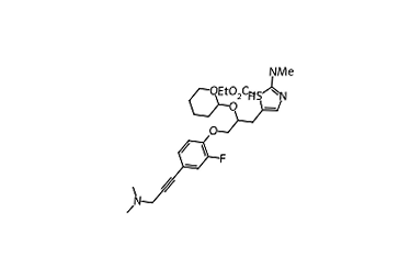 CCOC(=O)[SH]1C(CC(COc2ccc(C#CCN(C)C)cc2F)OC2CCCCO2)=CN=C1NC